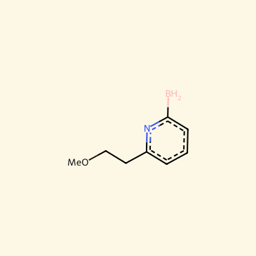 Bc1cccc(CCOC)n1